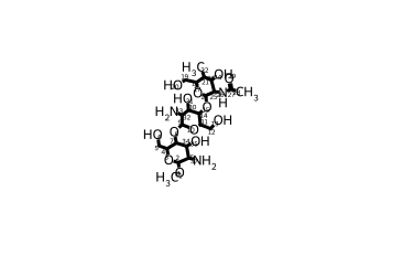 COC1OC(CO)C(OC2OC(CO)C(OC3OC(CO)C(C)C(O)C3NC(C)=O)C(O)C2N)C(O)C1N